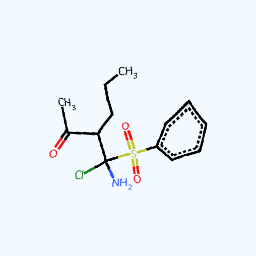 CCCC(C(C)=O)C(N)(Cl)S(=O)(=O)c1ccccc1